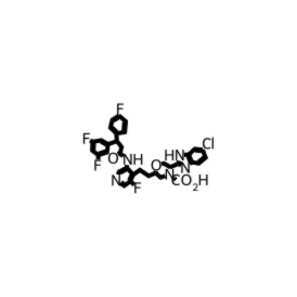 O=C(CC(c1ccc(F)cc1)c1cc(F)cc(F)c1)Nc1cncc(F)c1CCC1CN(C(=O)O)C(c2nc3ccc(Cl)cc3[nH]2)CO1